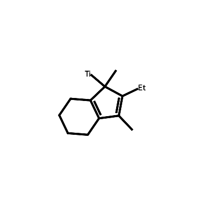 CCC1=C(C)C2=C(CCCC2)[C]1(C)[Ti]